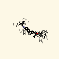 CCCC(=O)N(C/C=N/c1ccc2cc3c(cc2c1NC)OCc1cc(-c2[nH]c(CN(C(=O)C(C)CC)[C@@H](C)CC)nc2C2CC2)ccc1-3)[C@@H](C)CC